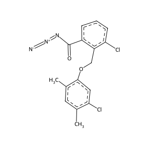 Cc1cc(C)c(OCc2c(Cl)cccc2C(=O)N=[N+]=[N-])cc1Cl